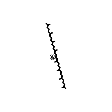 CC(C)=CCC/C(C)=C/C=C/C(C)=C/C=C/C(C)=C/C=C/C=C(C)/C=C/C=C(C)/C=C/C=C(\C)CCC=C(C)C.O=S(=O)(O)O